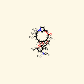 C=C1CO[C@H]2[C@H](C)[C@@H](O[C@@H]3O[C@H](C)C[C@H](N(C)C)[C@H]3C)[C@](C)(C[C@@H](C)[C@H](C)[C@H](C)N3CC[C@H](C3)OC(=O)[C@@H]2C)OC1